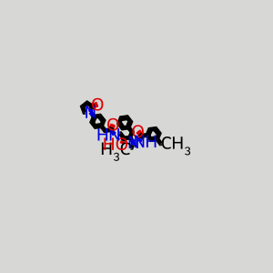 CCc1cccc(C(=O)NN(CC)C(Cc2ccccc2)C(O)CNC(=O)Cc2ccc(N3CCCC3=O)cc2)c1